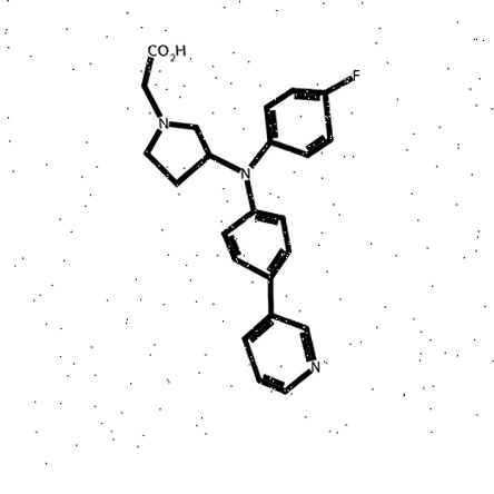 O=C(O)CN1CCC(N(c2ccc(F)cc2)c2ccc(-c3cccnc3)cc2)C1